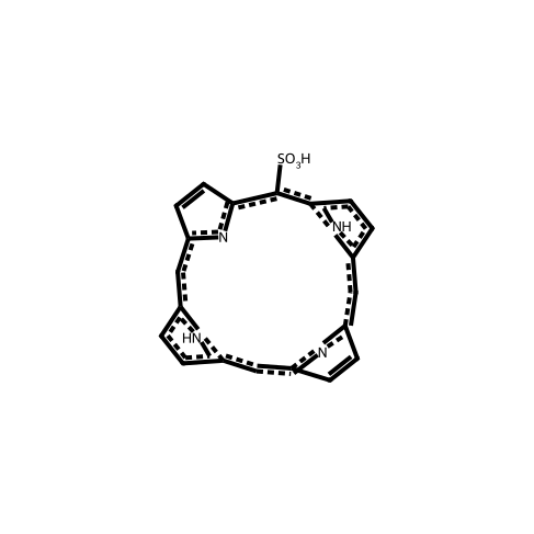 O=S(=O)(O)c1c2nc(cc3ccc(cc4nc(cc5ccc1[nH]5)C=C4)[nH]3)C=C2